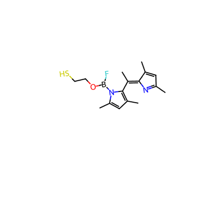 CC1=CC(C)=N/C1=C(/C)c1c(C)cc(C)n1B(F)OCCS